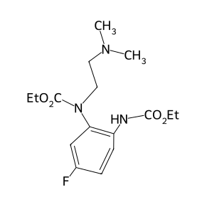 CCOC(=O)Nc1ccc(F)cc1N(CCN(C)C)C(=O)OCC